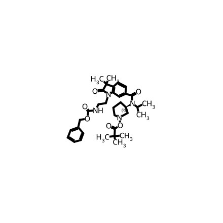 CC(C)N(C(=O)c1ccc2c(c1)N(CCNC(=O)OCc1ccccc1)C(=O)C2(C)C)[C@@H]1CCCN(OC(=O)C(C)(C)C)C1